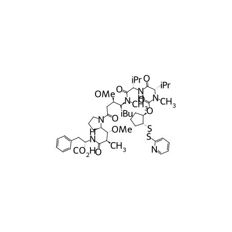 CC[C@H](C)[C@@H]([C@@H](CC(=O)N1CCC[C@@H]1[C@H](OC)[C@@H](C)C(=O)N[C@@H](Cc1ccccc1)C(=O)O)OC)N(C)C(=O)[C@@H](NC(=O)[C@H](C(C)C)N(C)C(=O)O[C@@H]1CCC[C@H]1SSc1ccccn1)C(C)C